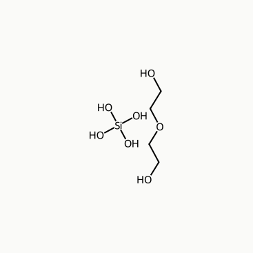 OCCOCCO.O[Si](O)(O)O